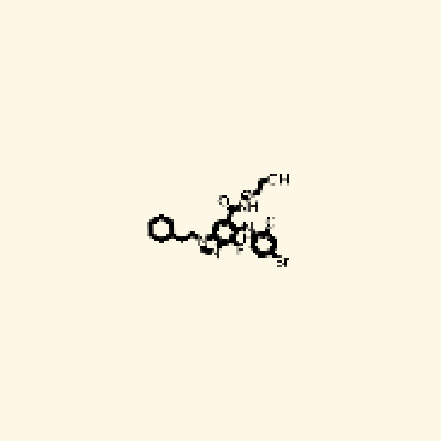 O=C(NOCCO)c1cc2c(ncn2CCC2CCCCC2)c(F)c1Nc1ccc(Br)cc1Cl